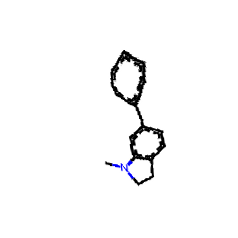 CN1CCc2ccc(-c3ccccc3)cc21